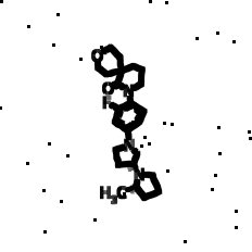 C[C@@H]1CCCN1[C@H]1CCN(c2ccc(N3CCCC4(CCOCC4)C3=O)c(F)c2)C1